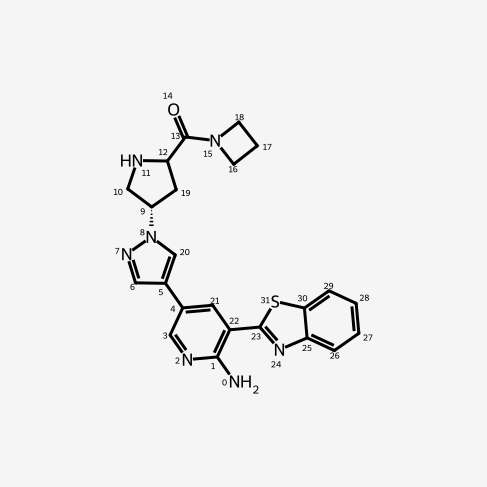 Nc1ncc(-c2cnn([C@@H]3CNC(C(=O)N4CCC4)C3)c2)cc1-c1nc2ccccc2s1